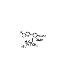 CCCCC(=O)OC(C)(C)COc1c(-c2ccc3c(c2)CCC3=O)ccc(OC)c1OC